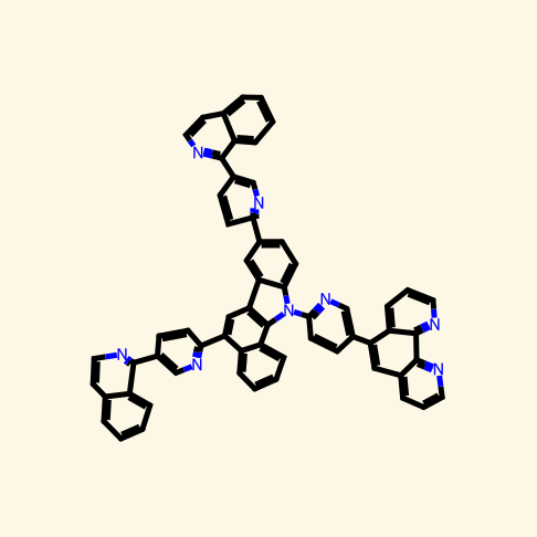 c1ccc2c(-c3ccc(-c4ccc5c(c4)c4cc(-c6ccc(-c7nccc8ccccc78)cn6)c6ccccc6c4n5-c4ccc(-c5cc6cccnc6c6ncccc56)cn4)nc3)nccc2c1